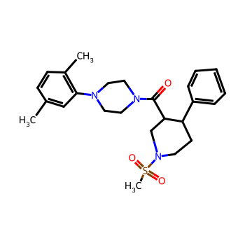 Cc1ccc(C)c(N2CCN(C(=O)C3CN(S(C)(=O)=O)CCC3c3ccccc3)CC2)c1